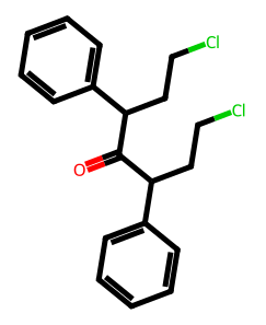 O=C(C(CCCl)c1ccccc1)C(CCCl)c1ccccc1